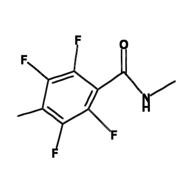 CNC(=O)c1c(F)c(F)c(C)c(F)c1F